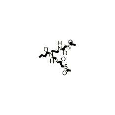 CCCC(=O)N(CCNC(=O)CSC(C)=O)CCNC(=O)CSC(C)=O